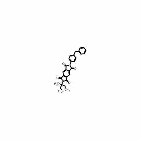 CCC(C)(CC)n1c(=O)c2cc3c(=O)n(-c4ccc(Cc5ccccc5)cc4)c(=O)c3cc2c1=O